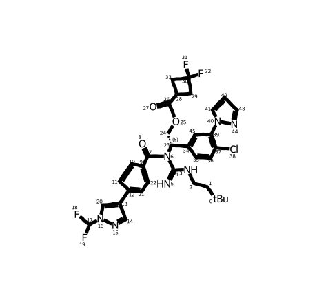 CC(C)(C)CCNC(=N)N(C(=O)c1ccc(-c2cnn(C(F)F)c2)cc1)[C@H](COC(=O)C1CC(F)(F)C1)c1ccc(Cl)c(-n2cccn2)c1